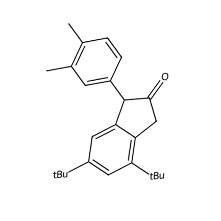 Cc1ccc(C2C(=O)Cc3c2cc(C(C)(C)C)cc3C(C)(C)C)cc1C